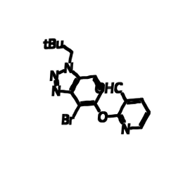 CC(C)(C)Cn1nnc2c(Br)c(Oc3ncccc3C=O)ccc21